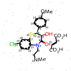 CNCCN1C(=O)[C@H](O)[C@H](c2ccc(OC)cc2)Sc2cc(Cl)ccc21.O=C(O)C=CC(=O)O